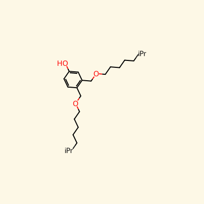 CC(C)CCCCCOCc1ccc(O)cc1COCCCCCC(C)C